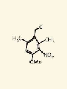 COc1cc(C)c(CCl)c(C)c1[N+](=O)[O-]